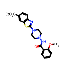 CCOC(=O)c1ccc2nc(N3CCN(NC(=O)c4ccccc4OC(F)(F)F)CC3)sc2c1